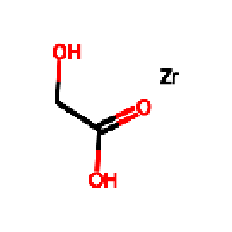 O=C(O)CO.[Zr]